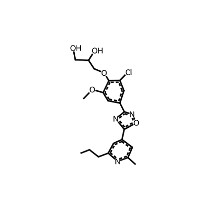 CCCc1cc(-c2nc(-c3cc(Cl)c(OCC(O)CO)c(OC)c3)no2)cc(C)n1